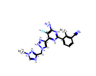 Cc1c(C#N)cccc1-c1nc(N)c(F)c(-c2cn(Cc3ncn(C)n3)nn2)n1